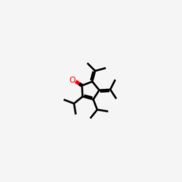 CC(C)=C1C(=O)C(C(C)C)=C(C(C)C)C1=C(C)C